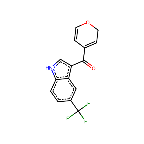 O=C(C1=CCOC=C1)c1c[nH]c2ccc(C(F)(F)F)cc12